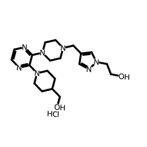 Cl.OCCn1cc(CN2CCN(c3nccnc3N3CCC(CO)CC3)CC2)cn1